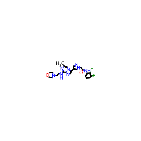 Cc1cn2c(-c3cnn(CC(=O)Nc4cccc(F)c4F)c3)cnc2c(NCCN2CCOCC2)n1